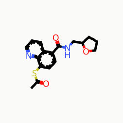 CC(=O)Sc1ccc(C(=O)NCC2CCCO2)c2cccnc12